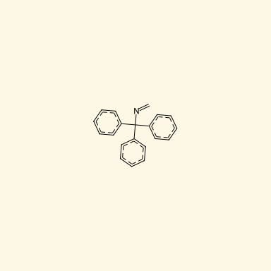 C=NC(c1ccccc1)(c1ccccc1)c1ccccc1